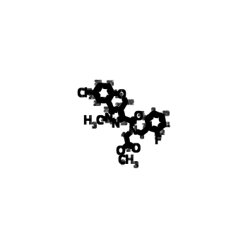 COC(=O)CN(Cc1ccccc1F)C(=O)c1nn(C)c2c1COc1ccc(Cl)cc1-2